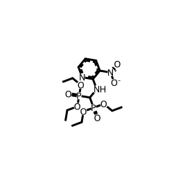 CCOP(=O)(OCC)C(Nc1ncccc1[N+](=O)[O-])P(=O)(OCC)OCC